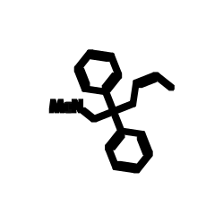 C/C=C\CC(CNC)(c1ccccc1)c1ccccc1